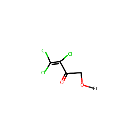 CCOCC(=O)C(Cl)=C(Cl)Cl